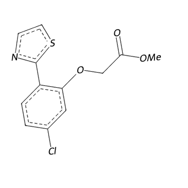 COC(=O)COc1cc(Cl)ccc1-c1nccs1